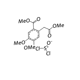 COC(=O)Cc1cc(OC)c(OC)cc1C(=O)OC.[O-][S+](Cl)Cl